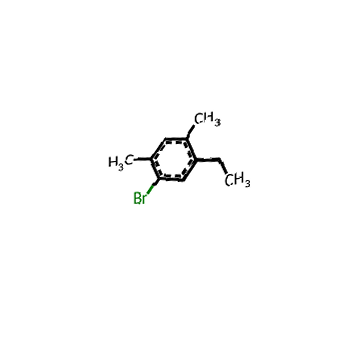 CCc1cc(Br)c(C)cc1C